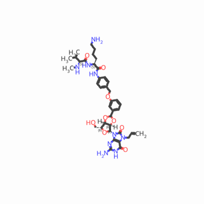 C=CCn1c(=O)n([C@@H]2O[C@H](CO)[C@H]3OC(c4cccc(OCc5ccc(NC(=O)[C@H](CCCCN)NC(=O)[C@@H](NC)C(C)C)cc5)c4)O[C@H]32)c2nc(N)[nH]c(=O)c21